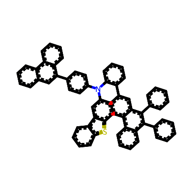 c1ccc(-c2c(-c3ccccc3)c3cc(-c4ccccc4N(c4ccc(-c5cc6ccccc6c6ccccc56)cc4)c4ccc5sc6ccccc6c5c4)ccc3c3ccccc23)cc1